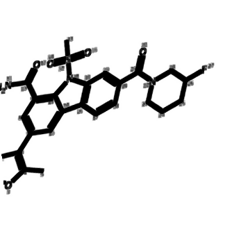 Cc1noc(C)c1-c1cc(C(N)=O)c2c(c1)c1ccc(C(=O)N3CCCC(F)C3)cc1n2S(C)(=O)=O